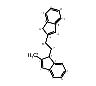 CC1=Cc2ccccc2C1CCC1=Cc2ccccc2C1